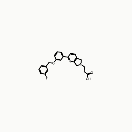 O=C(O)CCN1Cc2ccc(-c3cccc(OCc4cccc(F)c4)c3)nc2C1